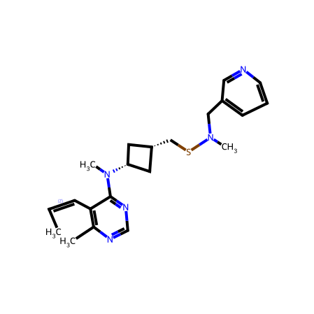 C/C=C\c1c(C)ncnc1N(C)[C@H]1C[C@@H](CSN(C)Cc2cccnc2)C1